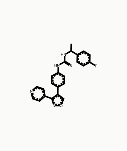 CC(NC(=S)Nc1ccc(-c2conc2-c2ccncc2)cc1)c1ccc(F)cc1